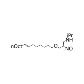 CCCCCCCC/C=C/CCCCCCOCC(CNC(C)C)N=O